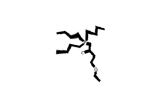 CCCCP(=CC(=O)CCOCC)(CCCC)CCCC